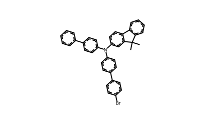 CC1(C)c2ccccc2-c2ccc(N(c3ccc(-c4ccccc4)cc3)c3ccc(-c4ccc(Br)cc4)cc3)cc21